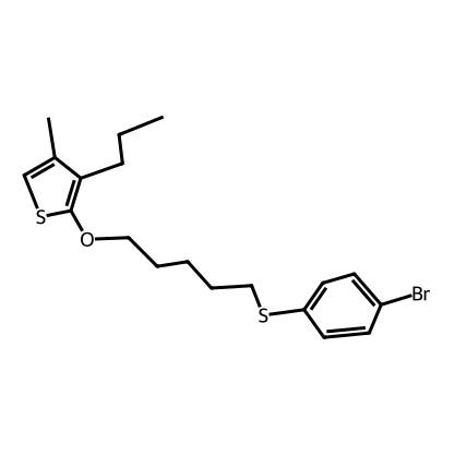 CCCc1c(C)csc1OCCCCCSc1ccc(Br)cc1